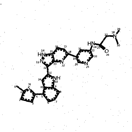 Cc1ccc(-c2cccc3[nH]c(-c4n[nH]c5ccc(-c6cncc(NC(=O)CN(C)C)c6)nc45)cc23)s1